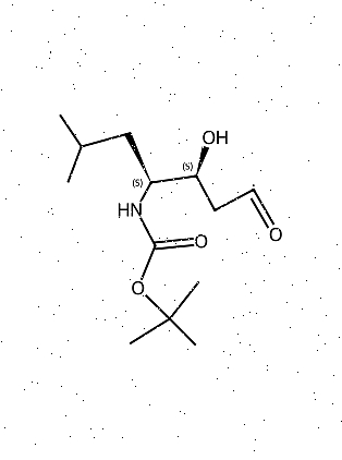 CC(C)C[C@H](NC(=O)OC(C)(C)C)[C@@H](O)C[C]=O